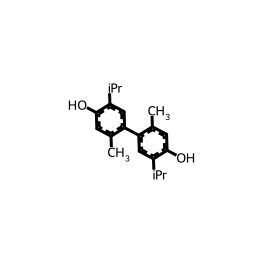 Cc1cc(O)c(C(C)C)cc1-c1cc(C(C)C)c(O)cc1C